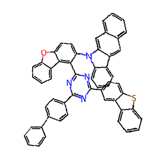 c1ccc(-c2ccc(-c3nc(-c4ccc5sc6ccccc6c5c4)nc(-c4c(-n5c6ccccc6c6cc7ccccc7cc65)ccc5oc6ccccc6c45)n3)cc2)cc1